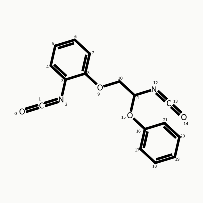 O=C=Nc1ccccc1OCC(N=C=O)Oc1ccccc1